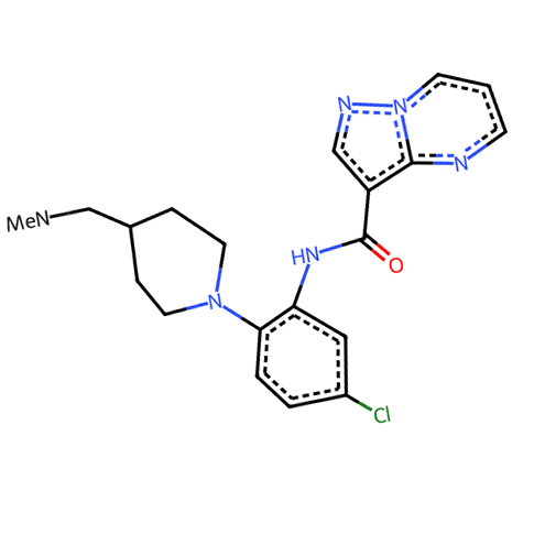 CNCC1CCN(c2ccc(Cl)cc2NC(=O)c2cnn3cccnc23)CC1